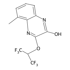 Cc1cccc2nc(O)c(OC(C(F)(F)F)C(F)(F)F)nc12